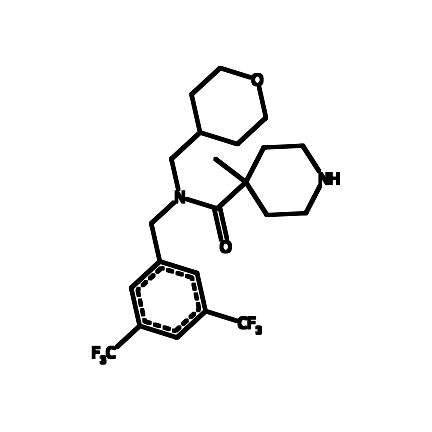 CC1(C(=O)N(Cc2cc(C(F)(F)F)cc(C(F)(F)F)c2)CC2CCOCC2)CCNCC1